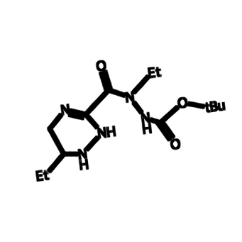 CCC1CN=C(C(=O)N(CC)NC(=O)OC(C)(C)C)NN1